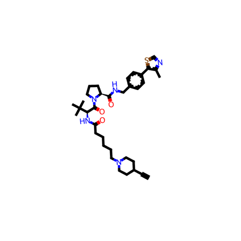 C#CC1CCN(CCCCCC(=O)N[C@H](C(=O)N2CCC[C@H]2C(=O)NCc2ccc(-c3scnc3C)cc2)C(C)(C)C)CC1